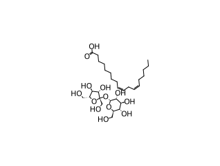 CCCCC/C=C\C/C=C\CCCCCCCC(=O)O.OC[C@H]1O[C@@](CO)(O[C@H]2O[C@H](CO)[C@@H](O)[C@H](O)[C@H]2O)[C@@H](O)[C@@H]1O